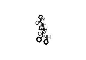 CN1C=CCC1C(=O)C[N+]12CCC(CC1)[C@@H](OC(=O)[C@H](Nc1ccccc1)c1ccccc1)C2